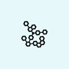 c1ccc(-c2ccc(N(c3ccc(-c4c(-c5ccccc5)cccc4-c4ccc5c(ccc6ccc7ccccc7c65)c4)cc3)c3ccc(-c4ccccc4)c4ccccc34)cc2)cc1